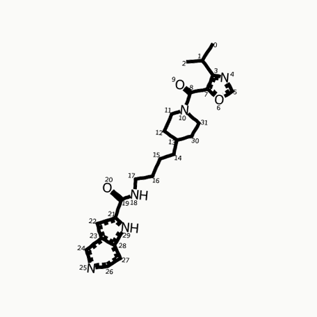 CC(C)c1ncoc1C(=O)N1CCC(CCCCNC(=O)c2cc3cnccc3[nH]2)CC1